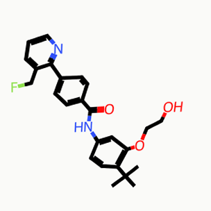 CC(C)(C)c1ccc(NC(=O)c2ccc(-c3ncccc3CF)cc2)cc1OCCO